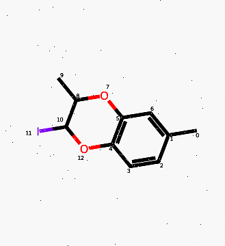 Cc1ccc2c(c1)OC(C)C(I)O2